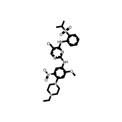 CCN1CCN(c2cc(OC)c(Nc3ncc(Cl)c(Nc4ccccc4S(=O)(=O)C(C)C)n3)cc2[N+](=O)[O-])CC1